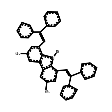 CCn1c2c(C=C(c3ccccc3)c3ccccc3)cc(C(C)(C)C)cc2c2cc(C(C)(C)C)cc(C=C(c3ccccc3)c3ccccc3)c21